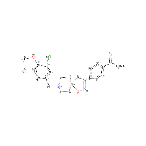 COC(=O)c1ccc(C2=NOC3(CCN(Cc4cc(Cl)c(OC(F)(F)F)c(Cl)c4)CC3)C2)cc1